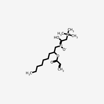 C=CC(=O)OC(CCCCCCC)C/[P+]([O-])=C(\O)C[N+](C)(C)C